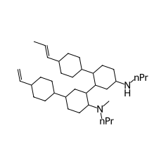 C=CC1CCC(C2CCC(N(C)CCC)C(C3CC(NCCC)CCC3C3CCC(/C=C/C)CC3)C2)CC1